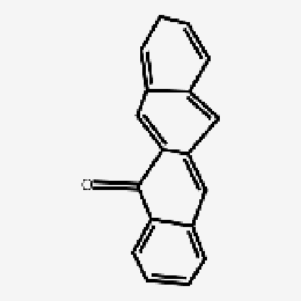 O=C1c2ccccc2C=c2cc3c(cc21)=CCC=C3